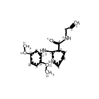 C#CCNC(=O)c1cccnc1Nc1cc(OC)ccc1OC